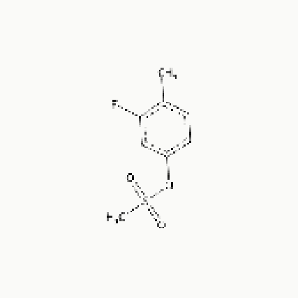 Cc1ccc(OS(C)(=O)=O)cc1F